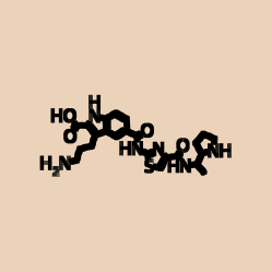 CC(NC(=O)c1csc(NC(=O)c2ccc3[nH]c(C(=O)O)c(CCCN)c3c2)n1)C1CCCN1